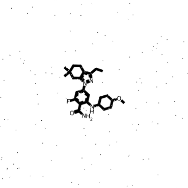 CCc1nn(-c2cc(F)c(C(N)=O)c(NC3CCC(OC)CC3)c2)c2c1CCC(C)(C)C2